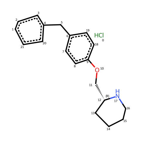 Cl.c1ccc(Cc2ccc(OC[C@H]3CCCCN3)cc2)cc1